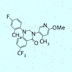 COc1cc(C)c(N2CN(c3ccc(F)cc3C)c3ccc(C(F)(F)F)cc3C2=O)cn1